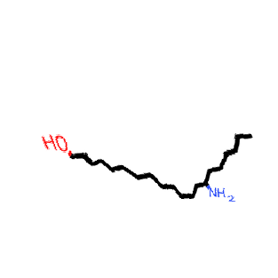 CCCCCCC(N)C/C=C\CCCCCCCC=CCO